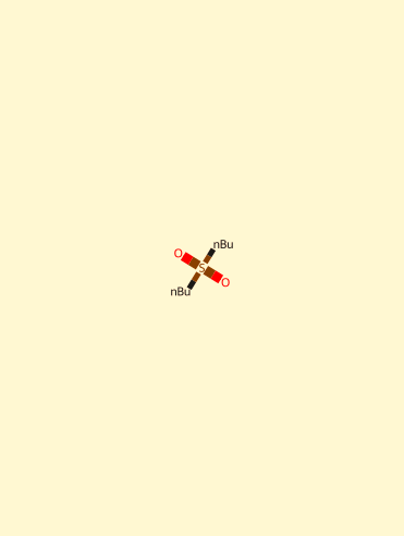 [CH2]CCCS(=O)(=O)CCC[CH2]